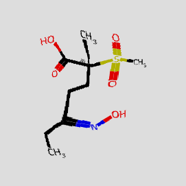 CCC(CC[C@](C)(C(=O)O)S(C)(=O)=O)=NO